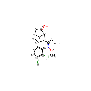 CCC(=NOC)[C@@H]1C2CC(CC2O)C[C@H]1c1ccc(Cl)c(Cl)c1